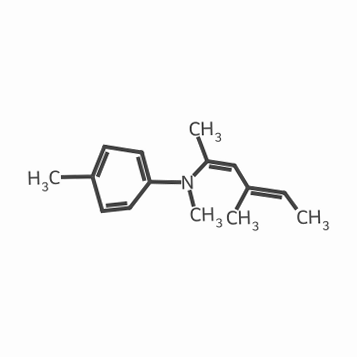 C/C=C(C)/C=C(/C)N(C)c1ccc(C)cc1